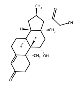 C[C@@H]1C[C@H]2[C@@H]3CCC4=CC(=O)CC[C@]4(C)[C@@]3(F)[C@@H](O)C[C@]2(C)[C@H]1C(=O)CC#N